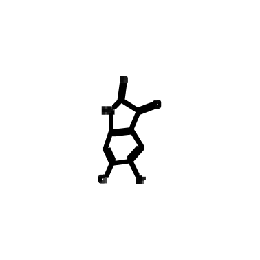 O=C1Nc2cc(Cl)c(Br)cc2C1=O